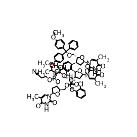 COc1ccc(C(OC[C@@H]2O[C@@H](n3cc(C)c(=O)[nH]c3=O)C[C@H]2c2c[c]c(Cl)c(C)c2[C@H]2O[C@@H](n3cc(C)c(=O)[nH]c3=O)C[C@@H]2OP(=O)(OC[C@H]2O[C@@H](n3cc(C)c(=O)[nH]c3=O)C[C@@H]2OP(OCCC#N)N(C(C)C)C(C)C)Oc2ccccc2Cl)(c2ccccc2)c2ccc(OC)cc2)cc1